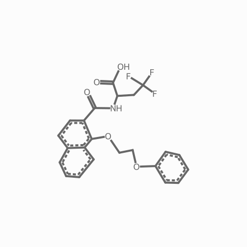 O=C(NC(CC(F)(F)F)C(=O)O)c1ccc2ccccc2c1OCCOc1ccccc1